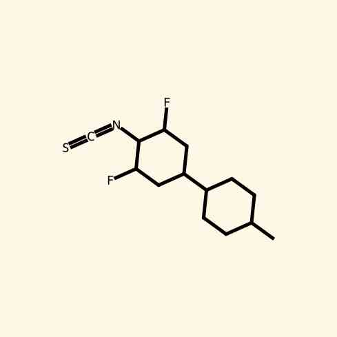 CC1CCC(C2CC(F)C(N=C=S)C(F)C2)CC1